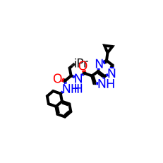 CC(C)CC(NC(=O)c1c[nH]c2ncc(C3CC3)nc12)C(=O)NC1CCCc2ccccc21